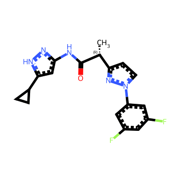 C[C@@H](C(=O)Nc1cc(C2CC2)[nH]n1)c1ccn(-c2cc(F)cc(F)c2)n1